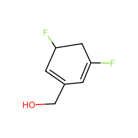 OCC1=CC(F)CC(F)=C1